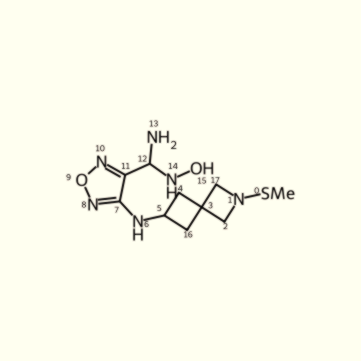 CSN1CC2(CC(Nc3nonc3C(N)NO)C2)C1